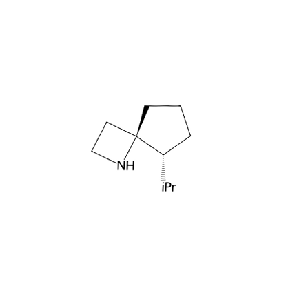 CC(C)[C@H]1CCC[C@@]12CCN2